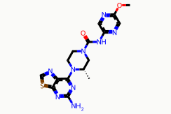 COc1cnc(NC(=O)N2CCN(c3nc(N)nc4scnc34)[C@@H](C)C2)cn1